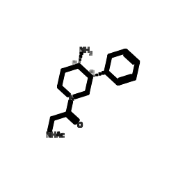 CC(=O)NCC(=O)N1CC[C@H](N)[C@H](C2C=CC=CC2)C1